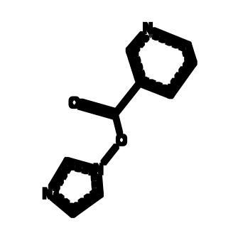 O=C(On1ccnc1)c1cccnc1